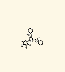 COC1(OC[C@H]2O[C@@H](n3cc(C)c(=O)[nH]c3=O)C[C@@H]2OC2(OC)CCCCC2)CCCCC1